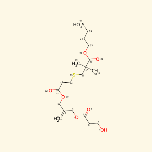 C=C(COC(=O)CCO)COC(=O)CCSCC(C)(C)C(=O)OCCCS(=O)(=O)O